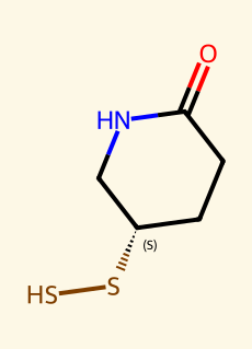 O=C1CC[C@H](SS)CN1